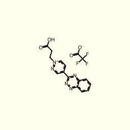 O=C(O)CC[n+]1ccc(-c2nnc3ccccc3n2)cn1.O=C([O-])C(F)(F)F